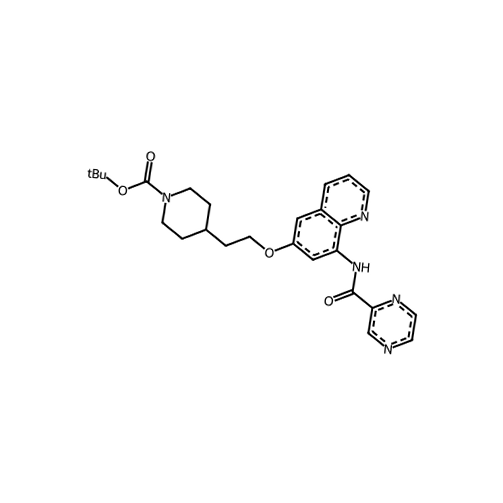 CC(C)(C)OC(=O)N1CCC(CCOc2cc(NC(=O)c3cnccn3)c3ncccc3c2)CC1